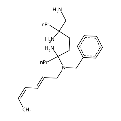 C/C=C\C=C\CN(Cc1ccccc1)C(N)(CCC)CCC(N)(CN)CCC